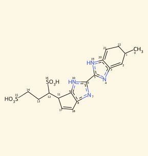 CC1C=c2nc(-c3nc4c([nH]3)C(C(CCS(=O)(=O)O)S(=O)(=O)O)C=C4)[nH]c2=CC1